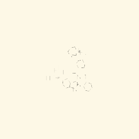 O=C(Nc1c2cc([C@@H](O)C(F)(F)F)ccc2nn1-c1ccccc1)c1cc(-c2ncccn2)c(C(F)(F)F)cc1F